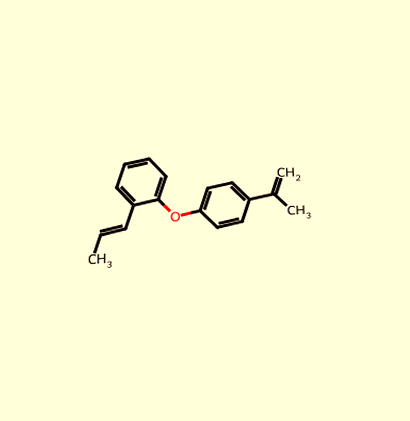 C=C(C)c1ccc(Oc2ccccc2/C=C/C)cc1